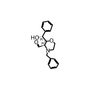 O=C[C@H]1[C@@H]([C@H](O)c2ccccc2)OCCN1Cc1ccccc1